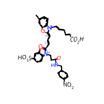 Cc1ccc2c(c1)O/C(=C\C=C\c1oc3cc(S(=O)(=O)O)ccc3[n+]1CCC(=O)NCc1ccc([N+](=O)[O-])cc1)N2CCCCCC(=O)O